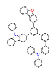 c1ccc(N(c2ccccc2)c2cccc(-c3cccc(-c4cc(-c5ccc6oc7ccccc7c6c5)cc(-c5ccc6c7ccccc7n(-c7ccccc7)c6c5)c4)c3)c2)cc1